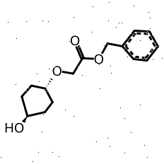 O=C(CO[C@H]1CC[C@H](O)CC1)OCc1ccccc1